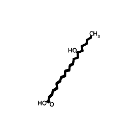 CCCCCCC(O)CCC=CC=CC=CC=CC=CC=CC(=O)O